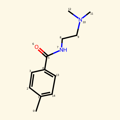 Cc1ccc(C(=O)NCCN(C)C)cc1